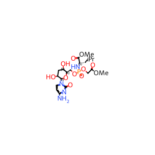 COC(=O)COP(=O)(N[C@@H](CC(C)C)C(=O)OC)OC[C@H]1O[C@@H](n2ccc(N)nc2=O)C(O)C[C@H]1O